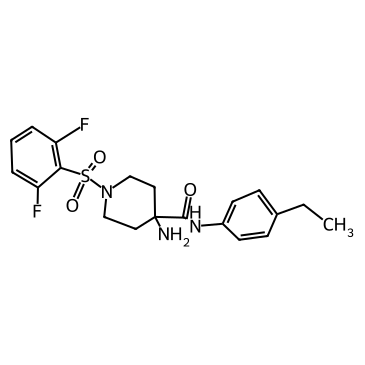 CCc1ccc(NC(=O)C2(N)CCN(S(=O)(=O)c3c(F)cccc3F)CC2)cc1